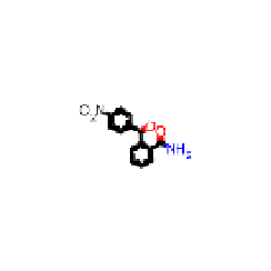 NC(=O)c1ccccc1C(=O)c1ccc([N+](=O)[O-])cc1